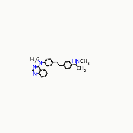 C=C(NC)c1ccc(CCc2ccc(N(C)c3ncnc4ccccc34)cc2)cc1